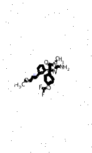 COC/C=C/c1cccc([C@]2(c3ccc(OC(F)F)cc3)N=C(N)N(C)C2=O)c1